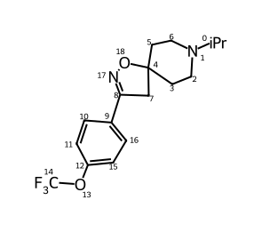 CC(C)N1CCC2(CC1)CC(c1ccc(OC(F)(F)F)cc1)=NO2